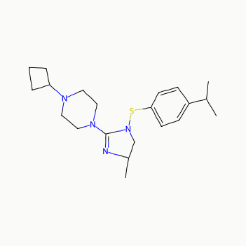 CC1CN(Sc2ccc(C(C)C)cc2)C(N2CCN(C3CCC3)CC2)=N1